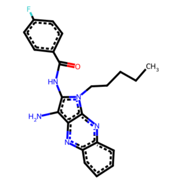 CCCCCn1c(NC(=O)c2ccc(F)cc2)c(N)c2nc3ccccc3nc21